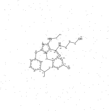 CCNc1nc(Oc2cccc(C(C)C)c2)n(Cc2ccc(Cl)cc2)c1C(=O)NCCCO